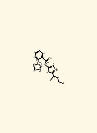 CCCC(C)c1nnc(NC(=O)c2ccccc2-n2cncn2)s1